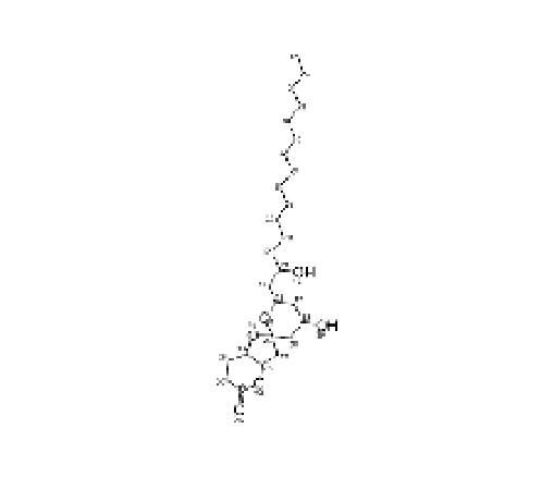 CCCCCCCCCCCCCC(O)CC1CC(O)CC2(CC3OC(=O)CCC3O2)O1